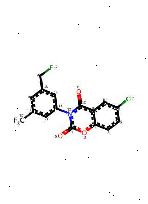 O=c1oc2ccc(Cl)cc2c(=O)n1-c1cc(CF)cc(C(F)(F)F)c1